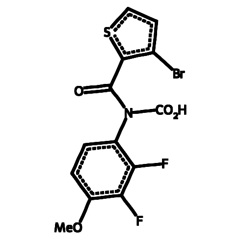 COc1ccc(N(C(=O)O)C(=O)c2sccc2Br)c(F)c1F